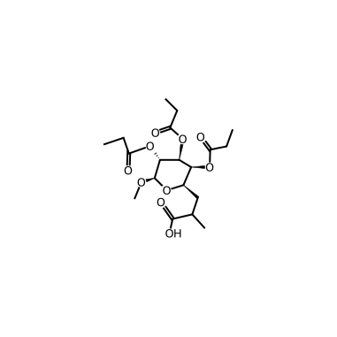 CCC(=O)O[C@H]1[C@@H](OC(=O)CC)[C@@H](CC(C)C(=O)O)O[C@@H](OC)[C@@H]1OC(=O)CC